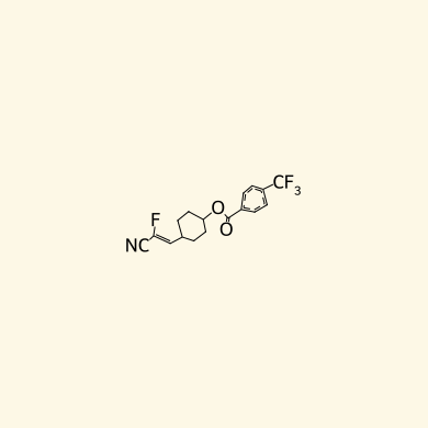 N#CC(F)=CC1CCC(OC(=O)c2ccc(C(F)(F)F)cc2)CC1